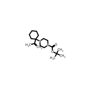 C=C(C)C1(N2CCN(C(=O)OC(C)(C)C)CC2)CCCCC1